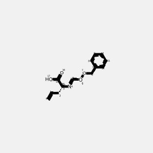 C=CC[C@@H](N=COOCc1ccccc1)C(=O)O